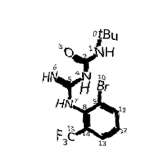 CC(C)(C)NC(=O)NC(=N)Nc1c(Br)cccc1C(F)(F)F